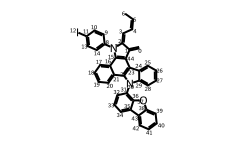 C=c1/c(=C\C=C/C)n(-c2ccc(I)cc2)c2c3ccccc3c3c(c4ccccc4n3-c3cccc4c3oc3ccccc34)c12